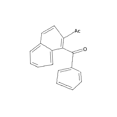 CC(=O)c1ccc2ccccc2c1C(=O)c1ccccc1